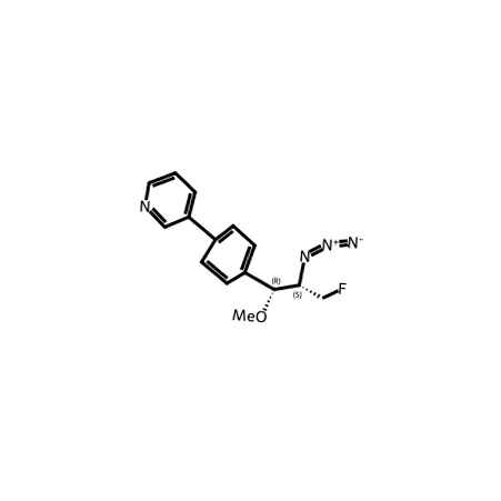 CO[C@H](c1ccc(-c2cccnc2)cc1)[C@@H](CF)N=[N+]=[N-]